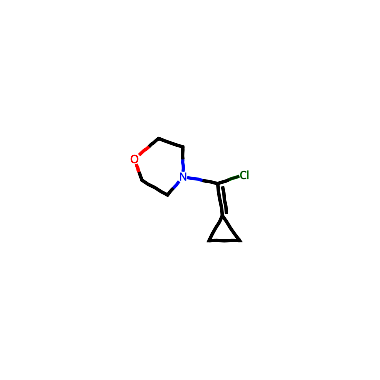 ClC(=C1CC1)N1CCOCC1